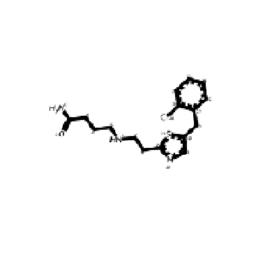 NC(=O)CCCNCCc1ncc(Cc2ccccc2Cl)s1